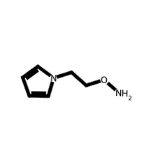 NOCCn1cccc1